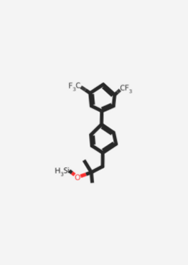 CC(C)(Cc1ccc(-c2cc(C(F)(F)F)cc(C(F)(F)F)c2)cc1)O[SiH3]